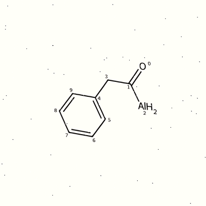 O=[C]([AlH2])Cc1ccccc1